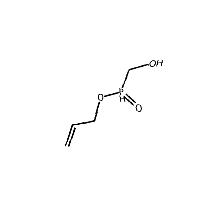 C=CCO[PH](=O)CO